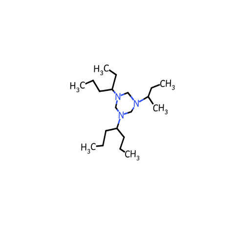 CCCC(CC)N1CN(C(C)CC)CN(C(CCC)CCC)C1